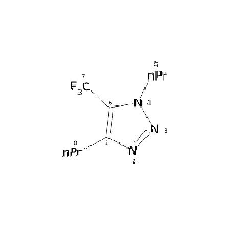 CCCc1nnn(CCC)c1C(F)(F)F